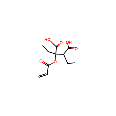 C=CC(=O)OC(CC)(C(=O)O)C(CC)C(=O)O